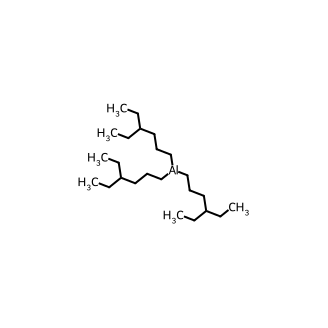 CCC(CC)CC[CH2][Al]([CH2]CCC(CC)CC)[CH2]CCC(CC)CC